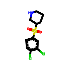 O=S(=O)(c1ccc(Cl)c(Cl)c1)C1CCCNC1